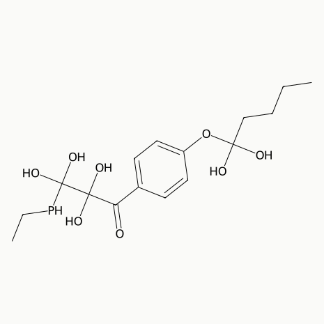 CCCCC(O)(O)Oc1ccc(C(=O)C(O)(O)C(O)(O)PCC)cc1